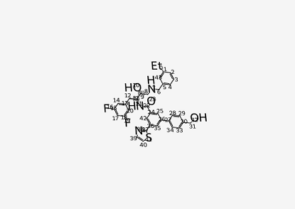 CCc1cccc(CNC[C@@H](O)[C@H](Cc2cc(F)cc(F)c2)NC(=O)c2cc(-c3ccc(CO)cc3)cc(-c3nccs3)c2)c1